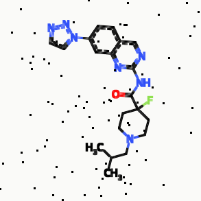 CC(C)CN1CCC(F)(C(=O)Nc2ncc3ccc(-n4ccnn4)cc3n2)CC1